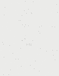 CCCC(C)NC(=O)C1CC1